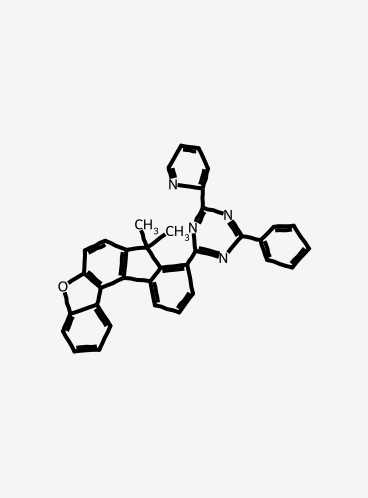 CC1(C)c2ccc3oc4ccccc4c3c2-c2cccc(-c3nc(-c4ccccc4)nc(-c4ccccn4)n3)c21